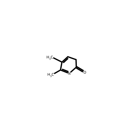 CC1=CCC(=O)N=C1C